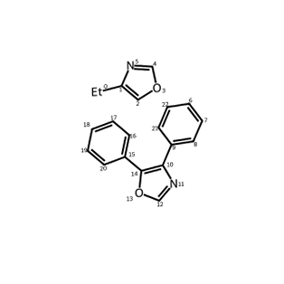 CCc1cocn1.c1ccc(-c2ncoc2-c2ccccc2)cc1